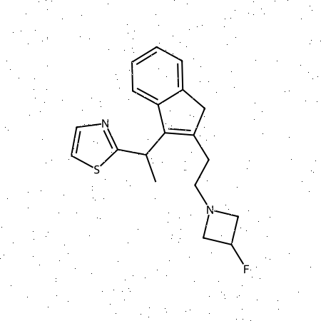 CC(C1=C(CCN2CC(F)C2)Cc2ccccc21)c1nccs1